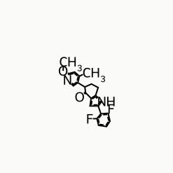 COc1cc(C)c(C2CCc3[nH]c(-c4c(F)cccc4F)cc3C2=O)cn1